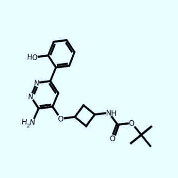 CC(C)(C)OC(=O)NC1CC(Oc2cc(-c3ccccc3O)nnc2N)C1